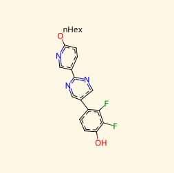 CCCCCCOc1ccc(-c2ncc(-c3ccc(O)c(F)c3F)cn2)cn1